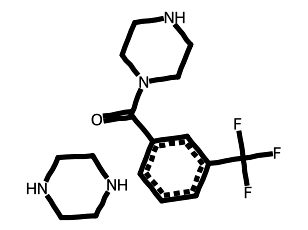 C1CNCCN1.O=C(c1cccc(C(F)(F)F)c1)N1CCNCC1